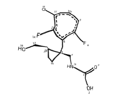 O=C(O)NC[C@@]1(c2c(F)ccc(Cl)c2F)C[C@H]1CO